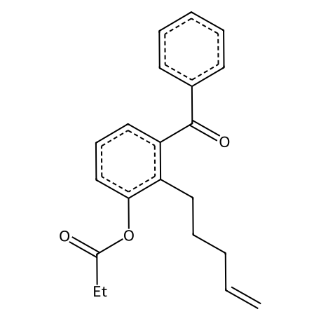 C=CCCCc1c(OC(=O)CC)cccc1C(=O)c1ccccc1